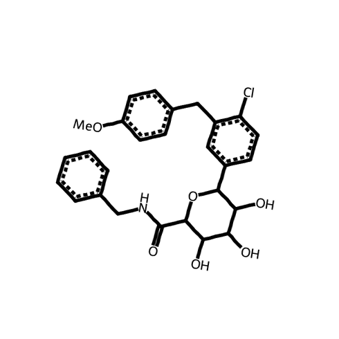 COc1ccc(Cc2cc(C3OC(C(=O)NCc4ccccc4)C(O)C(O)C3O)ccc2Cl)cc1